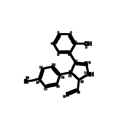 Oc1ccccc1C1=NNC(C=S)N1c1ccc(Br)cc1